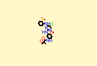 COc1ccc(NC(=O)C2(C)CO2)cc1Nc1ncc(Cl)c(Nc2ccccc2P(C)C)n1